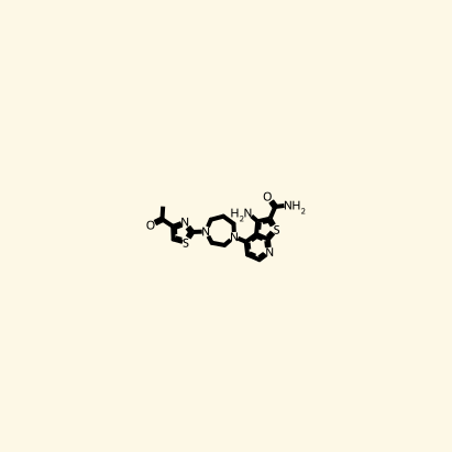 CC(=O)c1csc(N2CCCN(c3ccnc4sc(C(N)=O)c(N)c34)CC2)n1